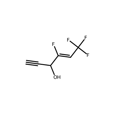 C#CC(O)C(F)=CC(F)(F)F